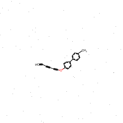 C#CC#CC#COc1ccc(-c2ccc(C)cc2)cc1